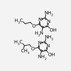 CC(C)COc1nc(N)nc(O)c1N.CCCOc1nc(N)nc(O)c1N